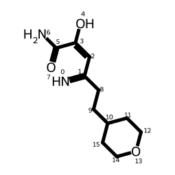 N=C(/C=C(/O)C(N)=O)CCC1CCOCC1